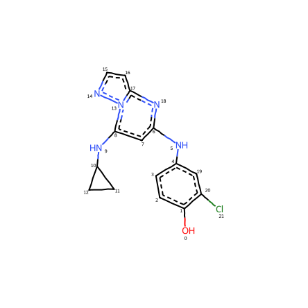 Oc1ccc(Nc2cc(NC3CC3)n3nccc3n2)cc1Cl